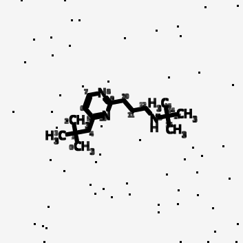 CC(C)(C)Cc1ccnc(CCCNC(C)(C)C)n1